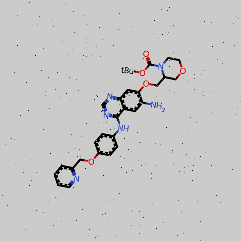 CC(C)(C)OC(=O)N1CCOCC1COc1cc2ncnc(Nc3ccc(OCc4ccccn4)cc3)c2cc1N